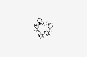 Cc1nc(-c2nnn(C)c2CNc2cnn(C3CCCCC3)n2)ccc1O[C@H]1CCC[C@H](C(=O)O)C1